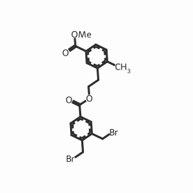 COC(=O)c1ccc(C)c(CCOC(=O)c2ccc(CBr)c(CBr)c2)c1